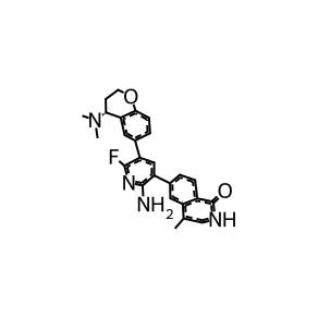 Cc1c[nH]c(=O)c2ccc(-c3cc(-c4ccc5c(c4)[C@H](N(C)C)CCO5)c(F)nc3N)cc12